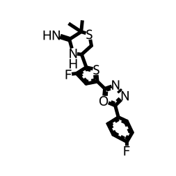 CC1(C)SCC(c2sc(-c3nnc(-c4ccc(F)cc4)o3)cc2F)NC1=N